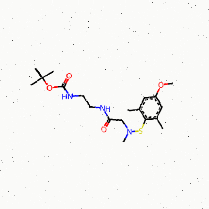 COc1cc(C)c(SN(C)CC(=O)NCCNC(=O)OC(C)(C)C)c(C)c1